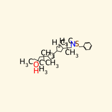 CCC(C)(O)CC(C)(CC)C1CCC(C2CCC(C(C)(CC)CN(C)SCc3ccccc3)C2)C1